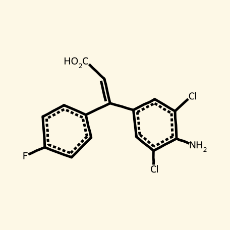 Nc1c(Cl)cc(/C(=C/C(=O)O)c2ccc(F)cc2)cc1Cl